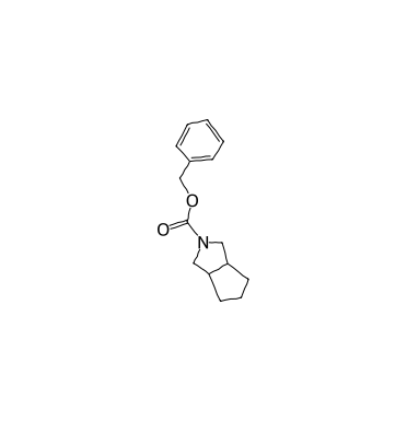 O=C(OCc1ccccc1)N1CC2CCCC2C1